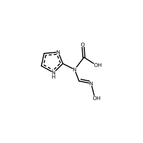 O=C(O)N(C=NO)c1ncc[nH]1